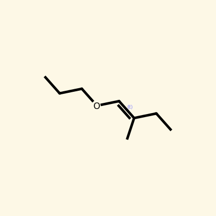 CCCO/C=C(\C)CC